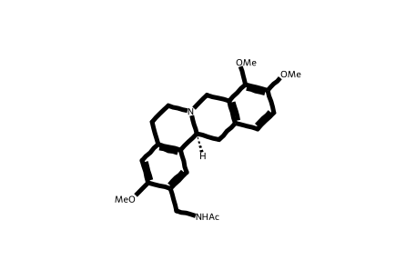 COc1cc2c(cc1CNC(C)=O)[C@@H]1Cc3ccc(OC)c(OC)c3CN1CC2